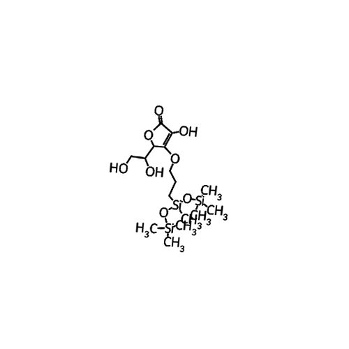 C[Si](C)(C)O[Si](C)(CCCOC1=C(O)C(=O)OC1C(O)CO)O[Si](C)(C)C